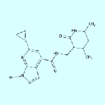 CC1CC(C)C(CNC(=O)c2cc(C3CC3)nc3c2cnn3C(C)C)C(=O)N1